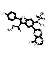 CNC(=O)c1c(-c2ccc(C)cc2)oc2cc(N(C)S(C)(=O)=O)c(-c3cnc4nc[nH]c(=O)c4n3)cc12